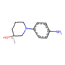 C[C@]1(O)CCCN(c2ccc(N)cc2)C1